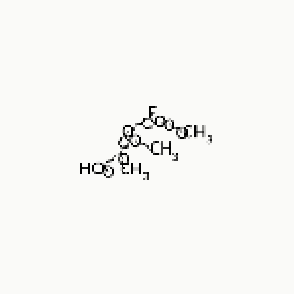 CCCCOc1cc(C(CC=CC(=O)O)OCC)ccc1OCCc1ccc(OCOCCOC)c(F)c1